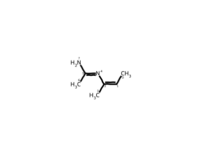 C/C=C(C)\N=C(/C)N